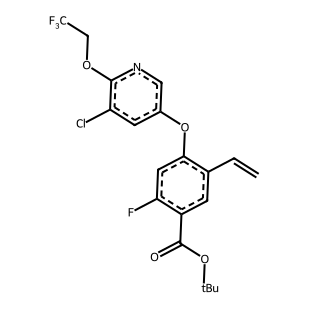 C=Cc1cc(C(=O)OC(C)(C)C)c(F)cc1Oc1cnc(OCC(F)(F)F)c(Cl)c1